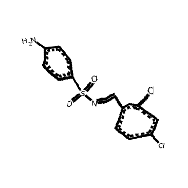 Nc1ccc(S(=O)(=O)N=Cc2ccc(Cl)cc2Cl)cc1